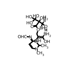 BC(O)C(COC(=O)C(O)(C(B)(B)O)C(O)(O)O)OC(C)N(C)/C=C\C(=N/C=O)NO